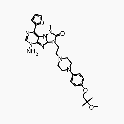 COC(C)(C)COc1ccc(N2CCN(CCN3C(=O)N(C)N4C5=C(c6ccco6)N=CN(N)C5=NC34)CC2)cc1